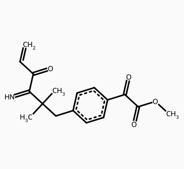 C=CC(=O)C(=N)C(C)(C)Cc1ccc(C(=O)C(=O)OC)cc1